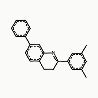 Cc1cc(C)cc(C2=Nc3cc(-c4ccccc4)ccc3CC2)c1